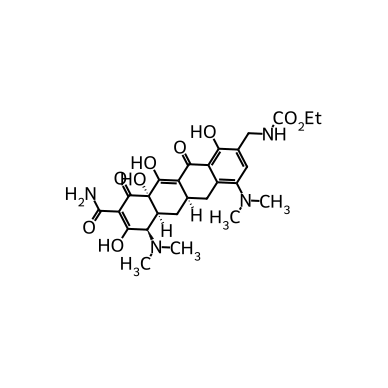 CCOC(=O)NCc1cc(N(C)C)c2c(c1O)C(=O)C1=C(O)[C@]3(O)C(=O)C(C(N)=O)=C(O)[C@H](N(C)C)[C@@H]3C[C@@H]1C2